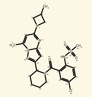 Cc1cc(N2CC(C)C2)nc2cc(C3CCCCN3C(=O)c3cc(Cl)ccc3NS(C)(=O)=O)nn12